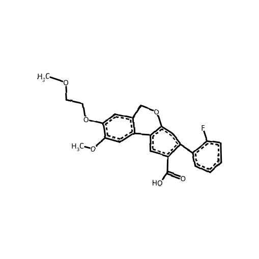 COCCOc1cc2c(cc1OC)-c1cc(C(=O)O)c(-c3ccccc3F)cc1OC2